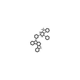 C[Si]1(C)c2ccccc2-c2c(-c3ccccc3)nc(-c3cccc(-n4c5ccccc5c5c6c(ccc54)sc4ccccc46)c3)nc21